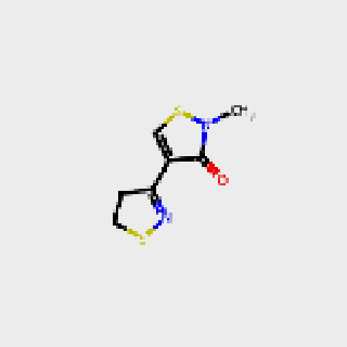 Cn1scc(C2=NSCC2)c1=O